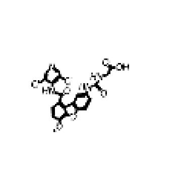 COc1ccc(C(=O)Nc2c(Cl)cncc2Cl)c2c1oc1ccc(NC(=O)NCC(=O)O)cc12